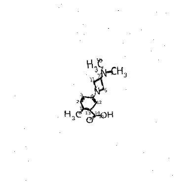 Cc1ccc(N2CC(N(C)C)C2)cc1C(=O)O